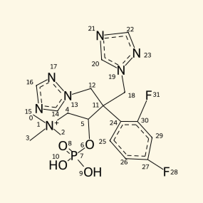 C[N+](C)(C)CC(OP(=O)(O)O)C(Cn1cncn1)(Cn1cncn1)c1ccc(F)cc1F